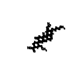 CCC1CC(C(=O)O)CCN1C1=CC(=O)C(Nc2ncnc3cc(OCCOC)c(OC)cc23)=CC1=O